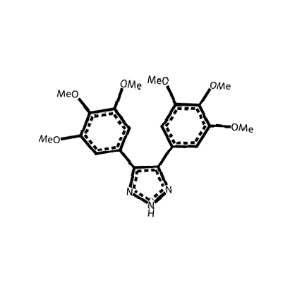 COc1cc(-c2n[nH]nc2-c2cc(OC)c(OC)c(OC)c2)cc(OC)c1OC